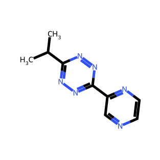 CC(C)c1nnc(-c2cnccn2)nn1